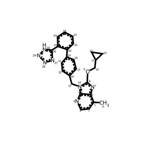 Cc1ccnc2c1nc(OCC1CC1)n2Cc1ccc(-c2ccccc2-c2nnn[nH]2)cc1